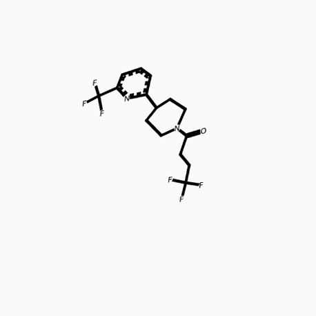 O=C(CCC(F)(F)F)N1CCC(c2cccc(C(F)(F)F)n2)CC1